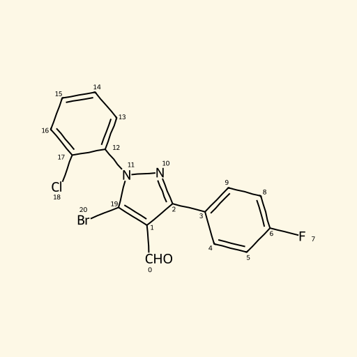 O=Cc1c(-c2ccc(F)cc2)nn(-c2ccccc2Cl)c1Br